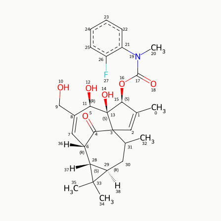 CC1=CC23C(=O)[C@@H](C=C(CO)[C@@H](O)[C@]2(O)[C@H]1OC(=O)N(C)c1ccccc1F)[C@@H]1[C@@H](CC3C)C1(C)C